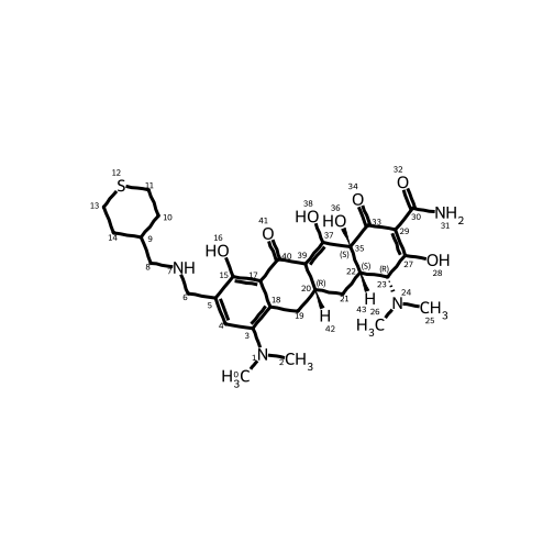 CN(C)c1cc(CNCC2CCSCC2)c(O)c2c1C[C@H]1C[C@H]3[C@@H](N(C)C)C(O)=C(C(N)=O)C(=O)[C@@]3(O)C(O)=C1C2=O